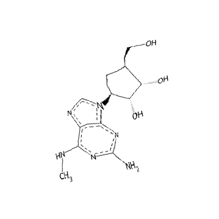 CNc1nc(N)nc2c1ncn2[C@H]1C[C@@H](CO)[C@H](O)[C@@H]1O